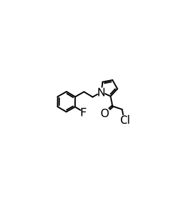 O=C(CCl)c1cccn1CCc1ccccc1F